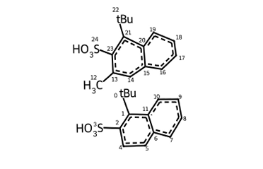 CC(C)(C)c1c(S(=O)(=O)O)ccc2ccccc12.Cc1cc2ccccc2c(C(C)(C)C)c1S(=O)(=O)O